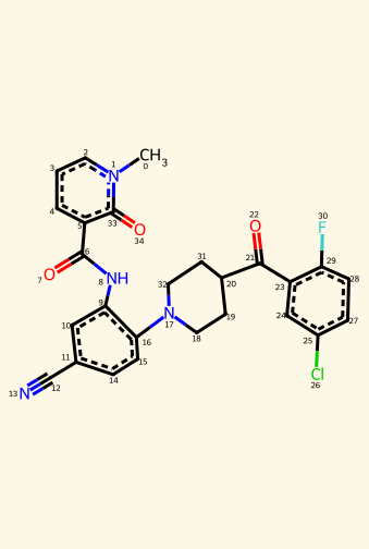 Cn1cccc(C(=O)Nc2cc(C#N)ccc2N2CCC(C(=O)c3cc(Cl)ccc3F)CC2)c1=O